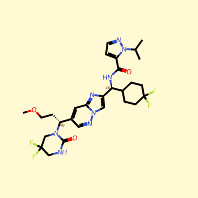 COCC[C@H](c1cnn2cc([C@@H](NC(=O)c3ccnn3C(C)C)C3CCC(F)(F)CC3)nc2c1)N1CC(F)(F)CNC1=O